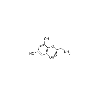 NCC(=O)Oc1c(O)cc(O)cc1O